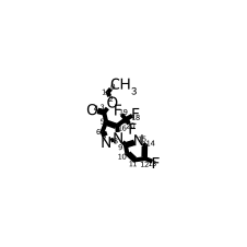 CCOC(=O)c1cnn(-c2ccc(F)cn2)c1C(F)(F)F